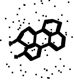 Brc1ccc2c3cccc4cccc(c5ccc(Br)c1c25)c43